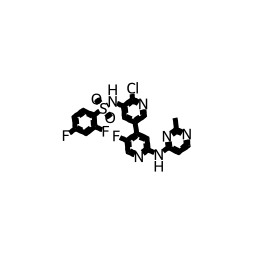 Cc1nccc(Nc2cc(-c3cnc(Cl)c(NS(=O)(=O)c4ccc(F)cc4F)c3)c(F)cn2)n1